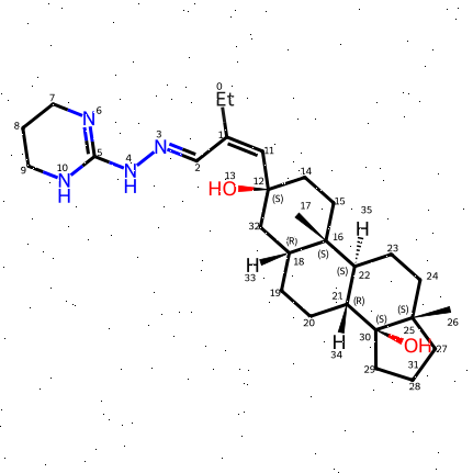 CCC(C=NNC1=NCCCN1)=C[C@]1(O)CC[C@@]2(C)[C@H](CC[C@@H]3[C@@H]2CC[C@]2(C)CCC[C@]32O)C1